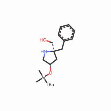 CC(C)(C)[Si](C)(C)O[C@H]1CN[C@@](CO)(Cc2ccccc2)C1